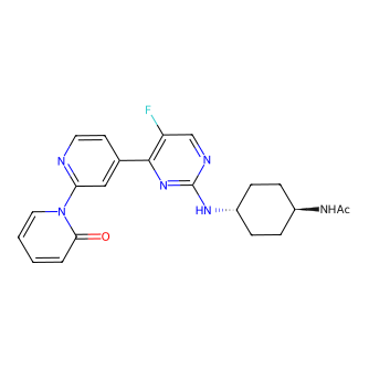 CC(=O)N[C@H]1CC[C@H](Nc2ncc(F)c(-c3ccnc(-n4ccccc4=O)c3)n2)CC1